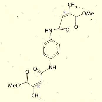 COC(=O)/C(C)=C\C(=O)Nc1ccc(NC(=O)/C=C(/C)C(=O)OC)cc1